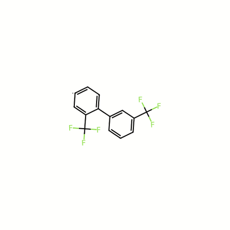 FC(F)(F)c1cccc(-c2cc[c]cc2C(F)(F)F)c1